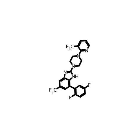 Fc1ccc(F)c(-c2cc(C(F)(F)F)cc3nc(N4CCN(c5ncccc5C(F)(F)F)CC4)[nH]c23)c1